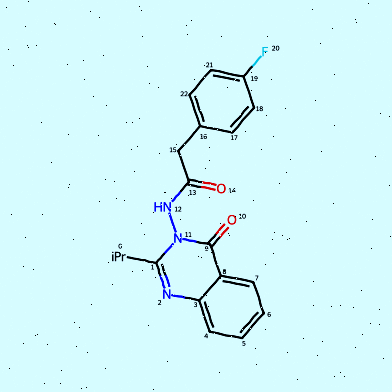 CC(C)c1nc2ccccc2c(=O)n1NC(=O)Cc1ccc(F)cc1